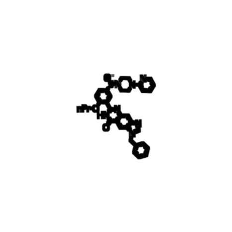 CCCOc1ccc([S+]([O-])N2CCN(c3ccccn3)CC2)cc1-c1nc2cc3ncn(Cc4ccccc4)c3cc2c(=O)[nH]1